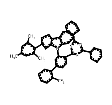 Cc1cc(C)c(-c2ccc3c4ccccc4n(-c4cc(-c5ccccc5C(F)(F)F)ccc4-c4nc(-c5ccccc5)nc(-c5ccccc5)n4)c3c2)c(C)c1